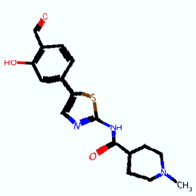 CN1CCC(C(=O)Nc2ncc(-c3ccc(C=O)c(O)c3)s2)CC1